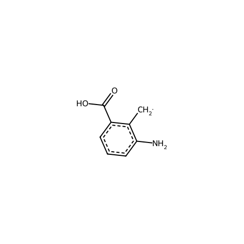 [CH2]c1c(N)cccc1C(=O)O